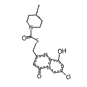 CC1CCN(C(=O)SCc2cc(=O)n3cc(Cl)cc(O)c3n2)CC1